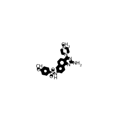 COc1ccc(S(=O)(=O)Nc2ccc3c(c2)CCc2c-3nc(N)nc2N2CCN(C)CC2)cc1